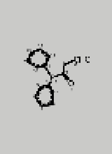 O=CCC(=O)P(c1ccccc1)c1ccccc1